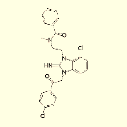 CN(CCn1c(=N)n(CC(=O)c2ccc(Cl)cc2)c2cccc(Cl)c21)C(=O)c1ccccc1